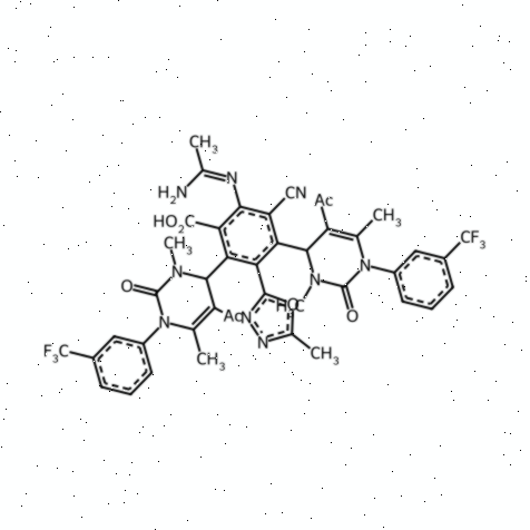 CC(=O)C1=C(C)N(c2cccc(C(F)(F)F)c2)C(=O)N(C)C1c1c(C#N)c(N=C(C)N)c(C(=O)O)c(C2C(C(C)=O)=C(C)N(c3cccc(C(F)(F)F)c3)C(=O)N2C)c1-c1nnc(C)o1